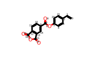 C=Cc1ccc(OC(=O)c2ccc3c(c2)C(=O)OC3=O)cc1